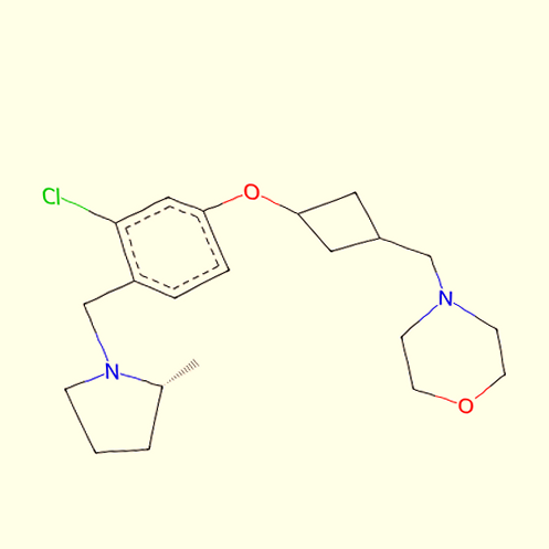 C[C@@H]1CCCN1Cc1ccc(OC2CC(CN3CCOCC3)C2)cc1Cl